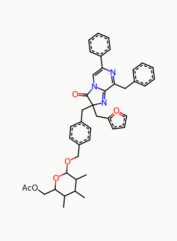 CC(=O)OCC1OC(OCc2ccc(CC3(Cc4ccco4)N=C4C(Cc5ccccc5)=NC(c5ccccc5)=CN4C3=O)cc2)C(C)C(C)C1C